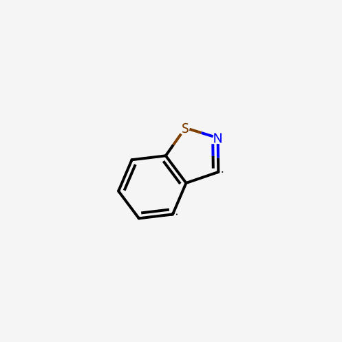 [c]1cccc2sn[c]c12